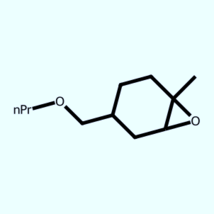 CCCOCC1CCC2(C)OC2C1